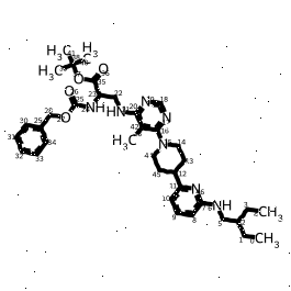 CCC(CC)CNc1cccc(C2CCN(c3ncnc(NCC(NC(=O)OCc4ccccc4)C(=O)OC(C)(C)C)c3C)CC2)n1